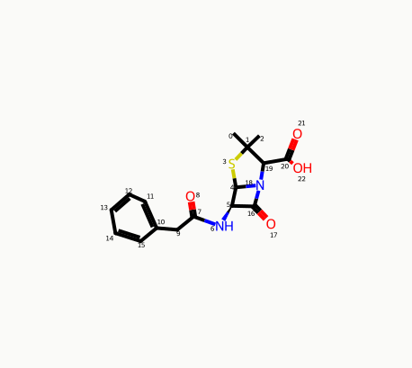 CC1(C)SC2[C@H](NC(=O)Cc3ccccc3)C(=O)N2C1C(=O)O